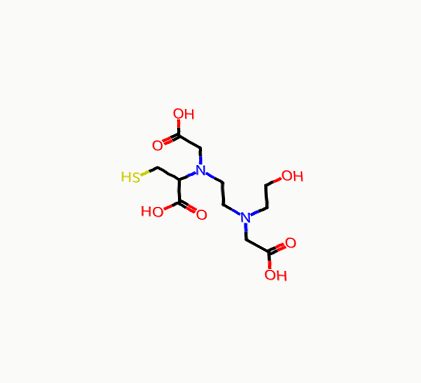 O=C(O)CN(CCO)CCN(CC(=O)O)C(CS)C(=O)O